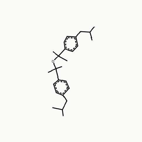 CC(C)Cc1ccc(C(C)(C)OC(C)(C)c2ccc(CC(C)C)cc2)cc1